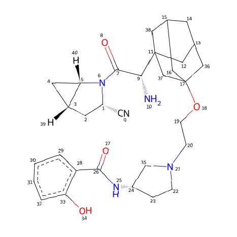 N#C[C@@H]1C[C@@H]2C[C@@H]2N1C(=O)[C@@H](N)C12CC3CC(CC(OCCN4CC[C@H](NC(=O)c5ccccc5O)C4)(C3)C1)C2